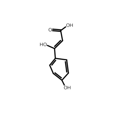 O=C(O)/C=C(\O)c1ccc(O)cc1